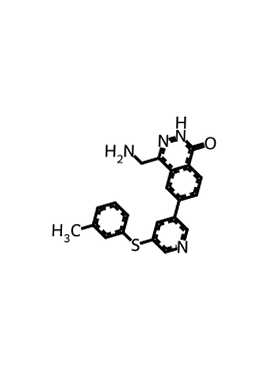 Cc1cccc(Sc2cncc(-c3ccc4c(=O)[nH]nc(CN)c4c3)c2)c1